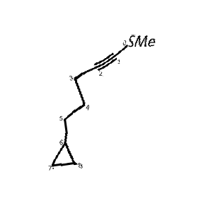 CSC#CCCCC1[CH]C1